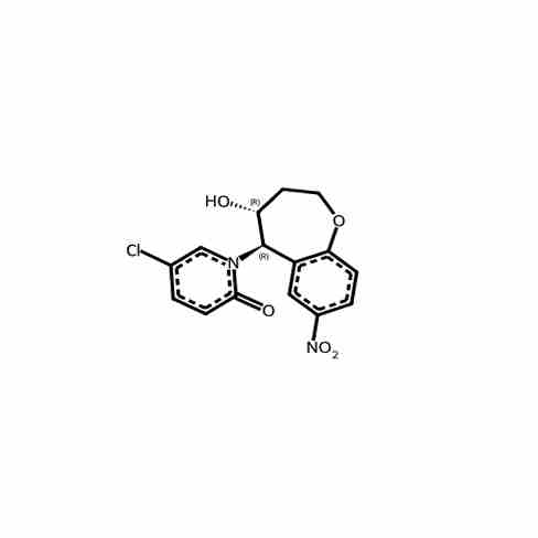 O=c1ccc(Cl)cn1[C@@H]1c2cc([N+](=O)[O-])ccc2OCC[C@H]1O